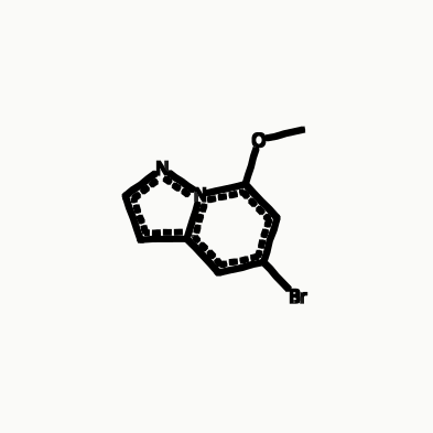 COc1cc(Br)cc2ccnn12